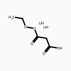 CCOOC(=O)CC(=O)O.[LiH].[LiH]